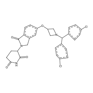 O=C1CCC(N2Cc3cc(OC4CN(C(c5ccc(Cl)cc5)c5ccc(Cl)cc5)C4)ccc3C2=O)C(=O)N1